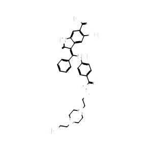 Cc1cc2c(cc1C(=O)O)NC(=O)C2=C(Nc1ccc(C(=O)NOCCN2CCN(CCO)CC2)cc1)c1ccccc1